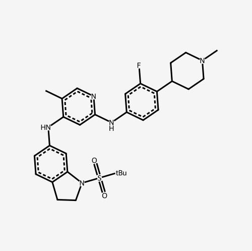 Cc1cnc(Nc2ccc(C3CCN(C)CC3)c(F)c2)cc1Nc1ccc2c(c1)N(S(=O)(=O)C(C)(C)C)CC2